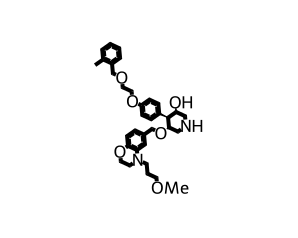 COCCCN1CCOc2ccc(CO[C@H]3CNC[C@@H](O)[C@@H]3c3ccc(OCCOCc4ccccc4C)cc3)cc21